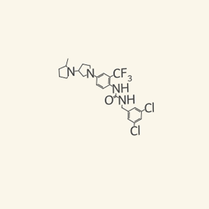 CC1CCCN1C1CCN(c2ccc(NC(=O)NCc3cc(Cl)cc(Cl)c3)c(C(F)(F)F)c2)C1